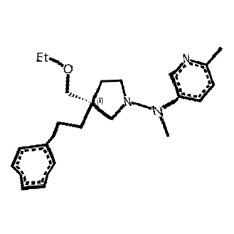 CCOC[C@]1(CCc2ccccc2)CCN(N(C)c2ccc(C)nc2)C1